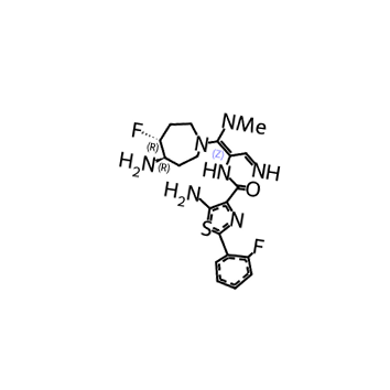 CN/C(=C(\C=N)NC(=O)c1nc(-c2ccccc2F)sc1N)N1CC[C@@H](N)[C@H](F)CC1